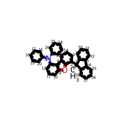 CC1(c2cccc3c2oc2cccc(N(c4ccccc4)c4ccccc4)c23)c2ccccc2-c2ccccc21